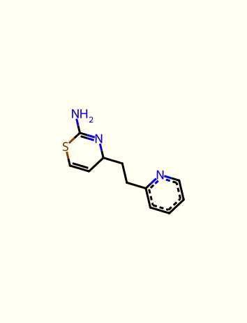 NC1=NC(CCc2ccccn2)C=CS1